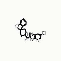 C[C@@H](c1nc2ncc(Cl)cc2[nH]1)C1CCC2(CC1)COc1ccccc12